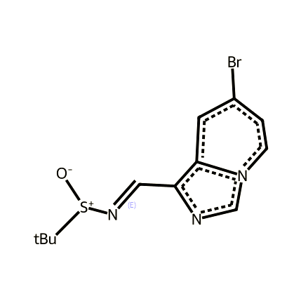 CC(C)(C)[S+]([O-])/N=C/c1ncn2ccc(Br)cc12